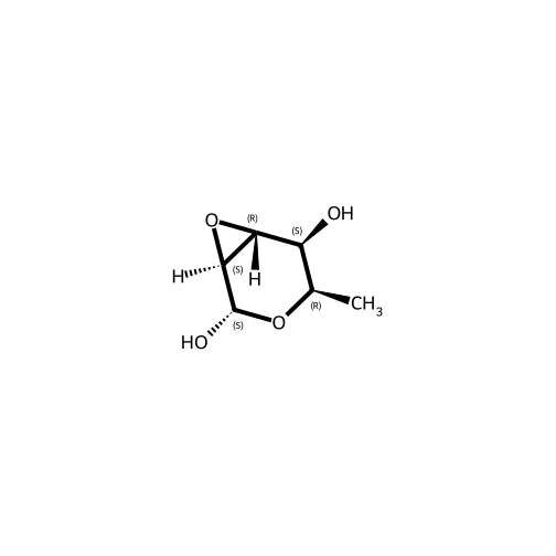 C[C@H]1O[C@H](O)[C@H]2O[C@@H]2[C@H]1O